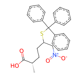 C[C@@H](CCC(C[N+](=O)[O-])SC(c1ccccc1)(c1ccccc1)c1ccccc1)C(=O)O